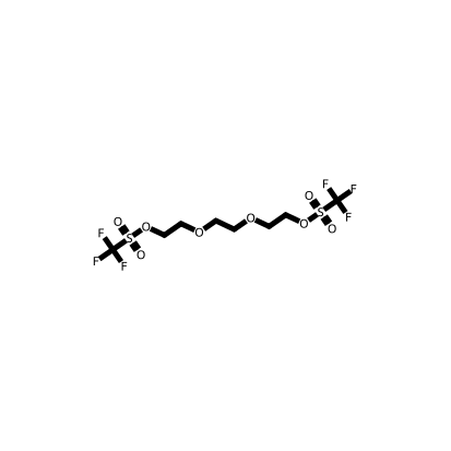 O=S(=O)(OCCOCCOCCOS(=O)(=O)C(F)(F)F)C(F)(F)F